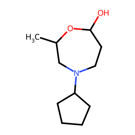 CC1CN(C2CCCC2)CCC(O)O1